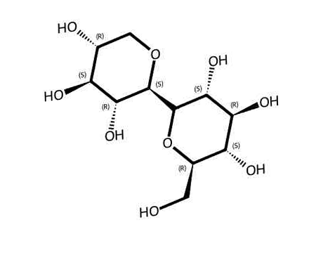 OC[C@H]1O[C]([C@@H]2OC[C@@H](O)[C@H](O)[C@H]2O)[C@H](O)[C@@H](O)[C@@H]1O